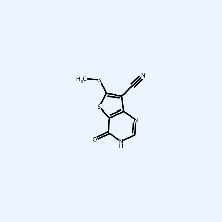 CSc1sc2c(=O)[nH]cnc2c1C#N